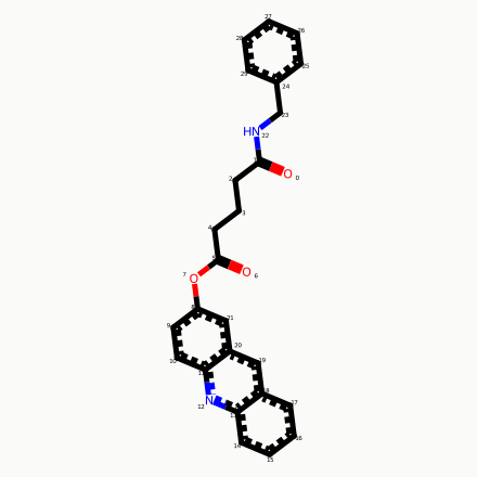 O=C(CCCC(=O)Oc1ccc2nc3ccccc3cc2c1)NCc1ccccc1